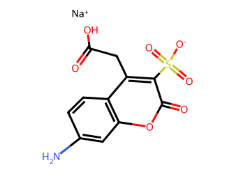 Nc1ccc2c(CC(=O)O)c(S(=O)(=O)[O-])c(=O)oc2c1.[Na+]